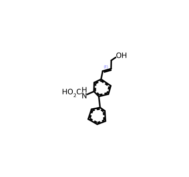 O=C(O)Nc1cc(/C=C/CO)ccc1-c1ccccc1